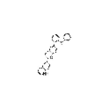 C1=CNC2C=CC(C3C=Cc4cc(-c5cccc6c5sc5ccccc56)ccc4O3)=CC2=C1